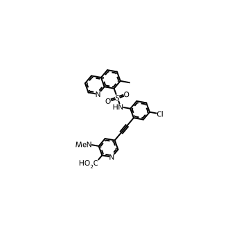 CNc1cc(C#Cc2cc(Cl)ccc2NS(=O)(=O)c2c(C)ccc3cccnc23)cnc1C(=O)O